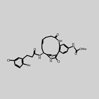 COC(=O)Nc1ccc2c(c1)NC(=O)CC/C=C/C[C@H](NC(=O)CCc1cc(Cl)ccc1C(C)=O)c1nc-2c(Cl)[nH]1